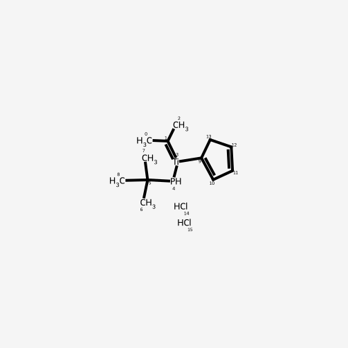 C[C](C)=[Ti]([PH]C(C)(C)C)[C]1=CC=CC1.Cl.Cl